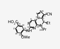 CC[C@@H]1c2c(C#N)ncn2-c2cnc(Nc3cc(C(=O)O)ccc3OC)nc2N1C(C)C